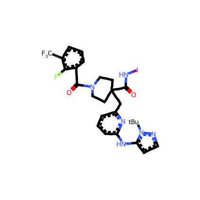 CC(C)(C)n1nccc1Nc1cccc(CC2(C(=O)NI)CCN(C(=O)c3cccc(C(F)(F)F)c3F)CC2)n1